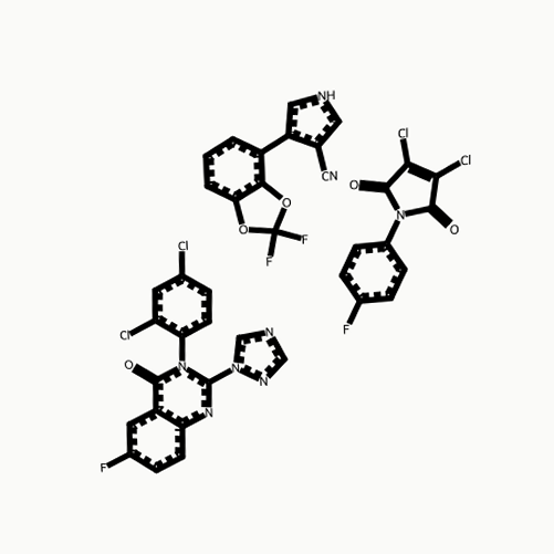 N#Cc1c[nH]cc1-c1cccc2c1OC(F)(F)O2.O=C1C(Cl)=C(Cl)C(=O)N1c1ccc(F)cc1.O=c1c2cc(F)ccc2nc(-n2cncn2)n1-c1ccc(Cl)cc1Cl